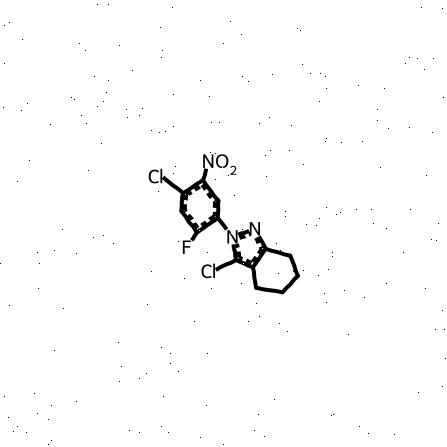 O=[N+]([O-])c1cc(-n2nc3c(c2Cl)CCCC3)c(F)cc1Cl